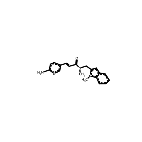 CN(Cc1cc2ccccc2n1C)C(=O)C=Cc1ccc(N)nc1